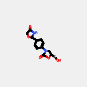 O=C1COC(c2ccc(N3CC(CO)OC3=O)cc2)N1